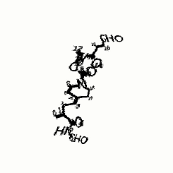 CC(CCC1CCN(C(=O)ON(C)C(=O)CCC=O)CC1)C(=O)NC=O